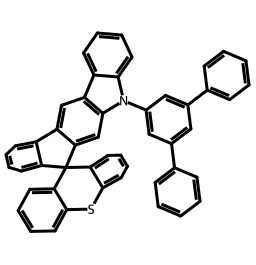 c1ccc(-c2cc(-c3ccccc3)cc(-n3c4ccccc4c4cc5c(cc43)C3(c4ccccc4Sc4ccccc43)c3ccccc3-5)c2)cc1